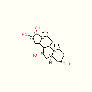 C[C@]12CCC3C(C1C[C@@H](O)[C@H]2O)[C@@H](O)C[C@@H]1C[C@@H](O)CC[C@]31C